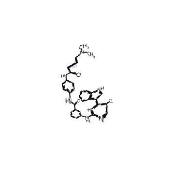 CN(C)C/C=C/C(=O)Nc1ccc(NC(=O)c2cccc(Nc3ncc(Cl)c(-c4c[nH]c5ccccc45)n3)c2)cc1